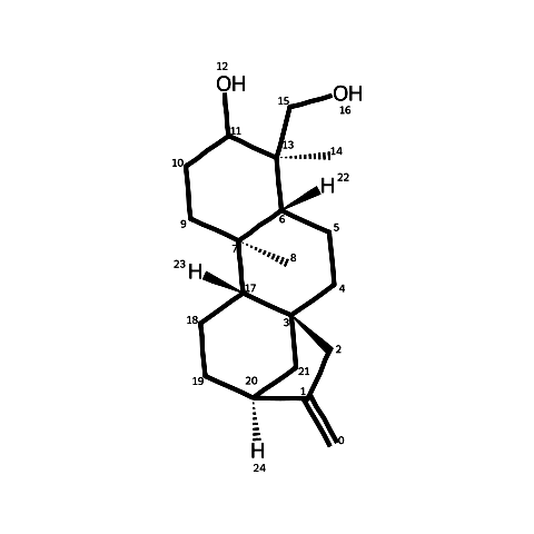 C=C1C[C@]23CC[C@@H]4[C@](C)(CCC(O)[C@@]4(C)CO)[C@H]2CC[C@H]1C3